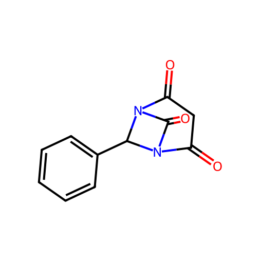 O=C1CC(=O)N2C(=O)N1C2c1ccccc1